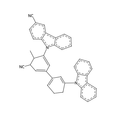 CC1C(n2c3ccccc3c3cc(C#N)ccc32)=CC(C2=CCCC(n3c4ccccc4c4ccccc43)=C2)=CC1C#N